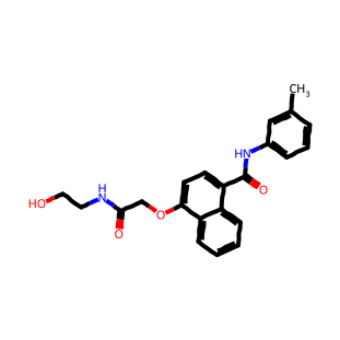 Cc1cccc(NC(=O)c2ccc(OCC(=O)NCCO)c3ccccc23)c1